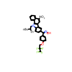 CCCCC(CC)Cn1c2ccc(C(=NO)c3ccc(OCC(F)(F)C(F)F)cc3)cc2c2cc([N+](=O)[O-])c3ccccc3c21